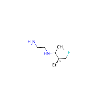 CC[C@H](CF)C(C)NCCN